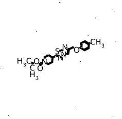 Cc1ccc(OCc2cn3nc(C4CCN(C(=O)OC(C)C)CC4)sc3n2)cc1